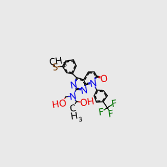 CSc1cccc(-c2nc(N(CO)C(C)O)nc3c2ccc(=O)n3-c2ccc(C(F)(F)F)cc2)c1